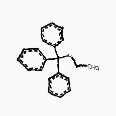 O=CCOC(c1ccccc1)(c1ccccc1)c1ccccc1